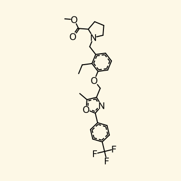 CCc1c(CN2CCCC2C(=O)OC)cccc1OCc1nc(-c2ccc(C(F)(F)F)cc2)oc1C